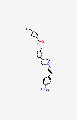 CSc1ccc(C(=O)NCc2cccc(C3CCN(CC=Cc4ccc(N(C)C)cc4)CC3)c2)cc1